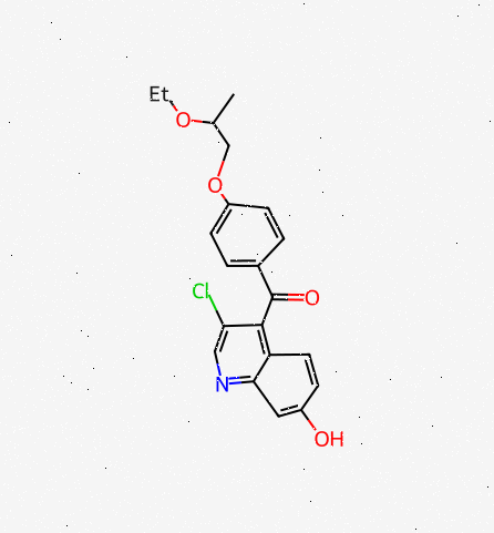 CCOC(C)COc1ccc(C(=O)c2c(Cl)cnc3cc(O)ccc23)cc1